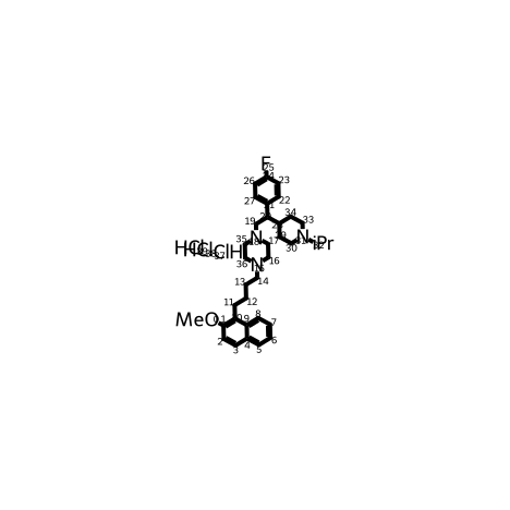 COc1ccc2ccccc2c1CCCCN1CCN(CC(c2ccc(F)cc2)C2CCN(C(C)C)CC2)CC1.Cl.Cl.Cl